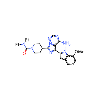 CCN(CC)C(=O)N1CCC(c2nc(-c3cc4cccc(OC)c4[nH]3)c3c(N)ncnn23)CC1